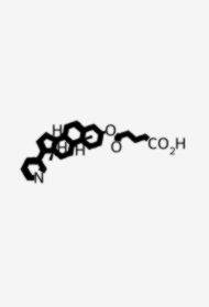 C[C@]12CC[C@H](OC(=O)CCCC(=O)O)CC1=CC[C@@H]1[C@@H]2CC[C@]2(C)C(c3cccnc3)=CC[C@@H]12